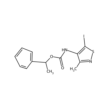 Cc1nsc(I)c1NC(=O)OC(C)c1ccccc1